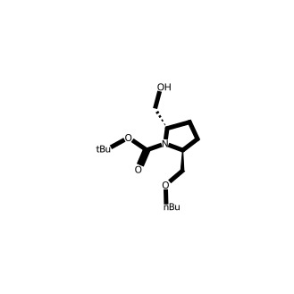 CCCCOC[C@@H]1CC[C@@H](CO)N1C(=O)OC(C)(C)C